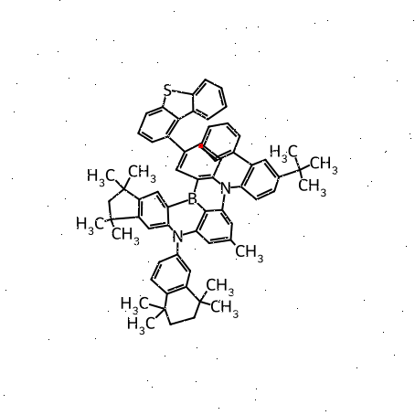 Cc1cc2c3c(c1)N(c1ccc(C(C)(C)C)cc1-c1ccccc1)c1ccc(-c4cccc5sc6ccccc6c45)cc1B3c1cc3c(cc1N2c1ccc2c(c1)C(C)(C)CCC2(C)C)C(C)(C)CC3(C)C